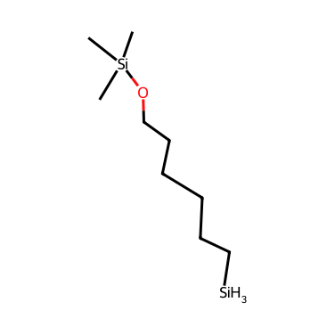 C[Si](C)(C)OCCCCCC[SiH3]